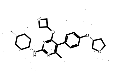 Cc1nc(N[C@H]2CC[C@@H](C)CC2)nc(OC2COC2)c1-c1ccc(O[C@@H]2CCOC2)cc1